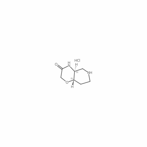 Cl.O=C1CO[C@H]2CCNC[C@@H]2N1